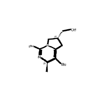 C[C@H]1N=C(C(C)(C)C)N2C[C@H](CO)CC2=C1C(C)(C)C